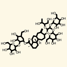 C=C1CC2CCC3[C@](C)(C(=O)OC4CC(CO)C(O)C(O)C4OC4OC(CO)C(O)C(O)C4O)CCC[C@@]3(C)[C@@H]2CCC1OC(OC(CO)C(C)O)C(OC1OC(CO)C(O)C(O)C1O)OC1OC(CO)C(O)C(O)C1O